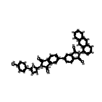 O=C1c2ccc(-c3ccc4c(c3)C(=O)N(c3cccc5cc6ccccc6cc35)C4=O)cc2C(=O)N1c1nnc(-c2ccc(Cl)cc2)o1